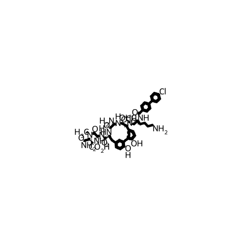 CN(C[C@@](C=O)(CCCCN)NC(=O)c1ccc(-c2ccc(Cl)cc2)cc1)[C@@H]1C(=O)N[C@@H](N)C(=O)N[C@H](C(=O)N[C@@H](N)C(=O)N(C)[C@@H](CC(=O)O)C(N)=O)Cc2ccc(O)c(c2)-c2cc1ccc2O